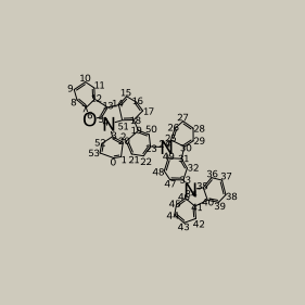 c1ccc(-n2c3oc4ccccc4c3c3cccc(-c4cccc(-n5c6ccccc6c6cc(-n7c8ccccc8c8ccccc87)ccc65)c4)c32)cc1